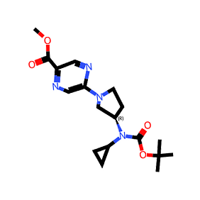 COC(=O)c1cnc(N2CC[C@@H](N(C(=O)OC(C)(C)C)C3CC3)C2)cn1